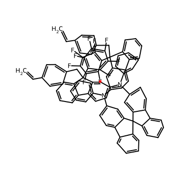 C=Cc1ccc(CC2(c3c(F)c(F)c(F)c(F)c3F)c3ccccc3-c3ccc(N(c4ccccc4)c4ccc5c(c4)C4(c6ccccc6-5)c5ccccc5-c5ccc(N(c6ccccc6)c6ccc7c(c6)C(Cc6ccc(C=C)cc6)(c6c(F)c(F)c(F)c(F)c6F)c6ccccc6-7)cc54)cc32)cc1